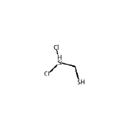 SC[SiH](Cl)Cl